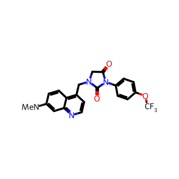 CNc1ccc2c(CN3CC(=O)N(c4ccc(OC(F)(F)F)cc4)C3=O)ccnc2c1